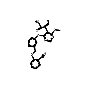 CC=C(C(=O)O)c1c(OC)ncnc1Oc1cccc(COc2ccccc2C#N)c1